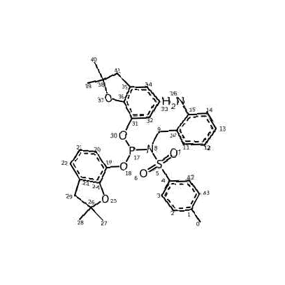 Cc1ccc(S(=O)(=O)N(Cc2ccccc2N)P(Oc2cccc3c2OC(C)(C)C3)Oc2cccc3c2OC(C)(C)C3)cc1